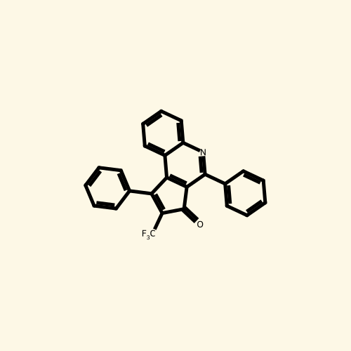 O=C1C(C(F)(F)F)=C(c2ccccc2)c2c1c(-c1ccccc1)nc1ccccc21